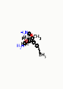 CCCCCC[C@H]1CC[C@H](C2CCC(c3cc(C)c(Oc4ccc(N)cc4)c(C)c3)(c3cc(C)c(Oc4ccc(N)cc4)c(C)c3)CC2)CC1